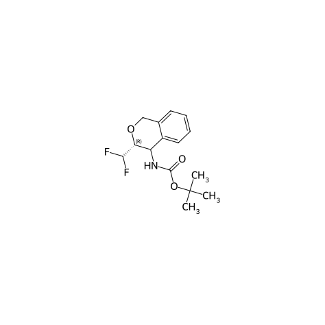 CC(C)(C)OC(=O)NC1c2ccccc2CO[C@H]1C(F)F